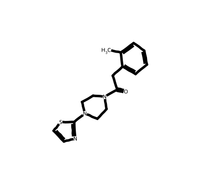 Cc1ccccc1CC(=O)N1CCN(c2nccs2)CC1